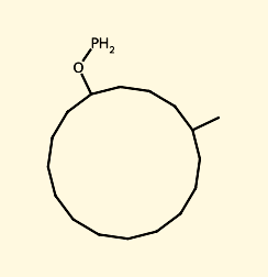 CC1CCCCCCCCCCCC(OP)CCC1